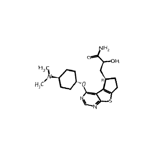 CN(C)[C@H]1CC[C@H](Oc2ncnc3sc4c(c23)[C@@H](CC(O)C(N)=O)CC4)CC1